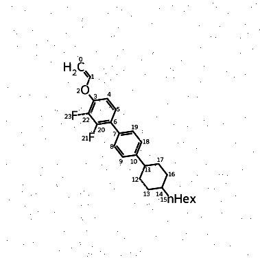 C=COc1ccc(-c2ccc(C3CCC(CCCCCC)CC3)cc2)c(F)c1F